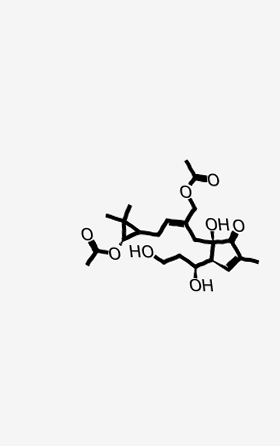 CC(=O)OC/C(=C/CC1[C@H](OC(C)=O)C1(C)C)C[C@]1(O)C(=O)C(C)=C[C@H]1[C@@H](O)CCO